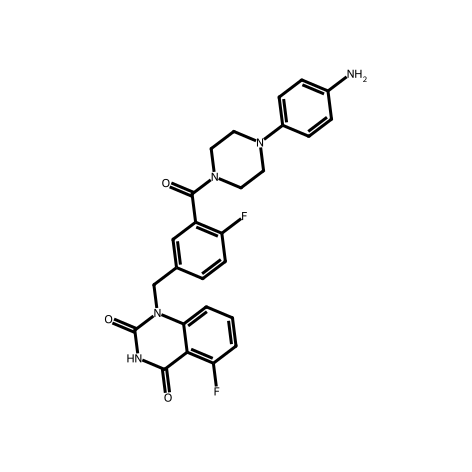 Nc1ccc(N2CCN(C(=O)c3cc(Cn4c(=O)[nH]c(=O)c5c(F)cccc54)ccc3F)CC2)cc1